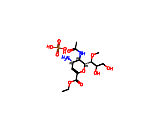 CCOC(=O)C1=C[C@H](N)[C@@H](NC(C)=O)[C@H](C(OC)C(O)CO)O1.O=S(=O)(O)O